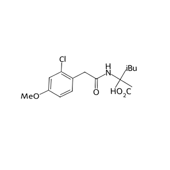 CCC(C)C(C)(NC(=O)Cc1ccc(OC)cc1Cl)C(=O)O